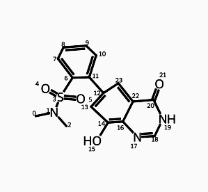 CN(C)S(=O)(=O)c1ccccc1-c1cc(O)c2nc[nH]c(=O)c2c1